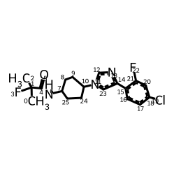 CC(C)(F)C(=O)NC1CCC(n2cnc(-c3ccc(Cl)cc3F)c2)CC1